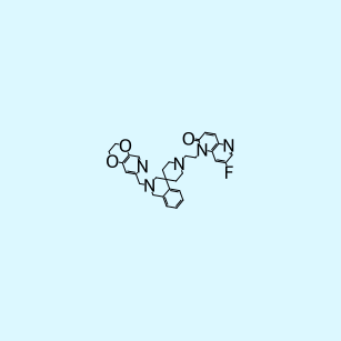 O=c1ccc2ncc(F)cc2n1CCN1CCC2(CC1)CN(Cc1cc3c(cn1)OCCO3)Cc1ccccc12